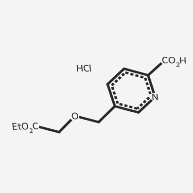 CCOC(=O)COCc1ccc(C(=O)O)nc1.Cl